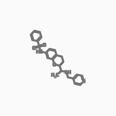 CC(NCc1ccncc1)C1CCc2ccc(NS(=O)(=O)c3ccccc3)cc2O1